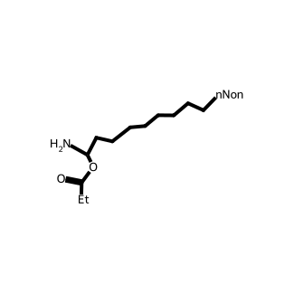 CCCCCCCCCCCCCCCCCC(N)OC(=O)CC